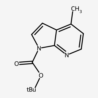 Cc1ccnc2c1ccn2C(=O)OC(C)(C)C